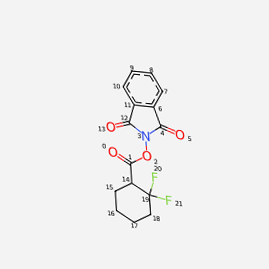 O=C(ON1C(=O)c2ccccc2C1=O)C1CCCCC1(F)F